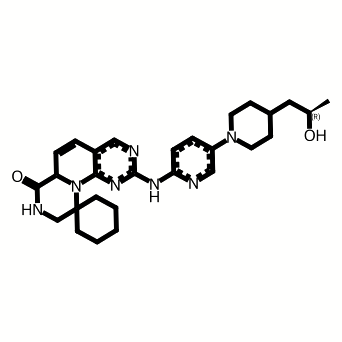 C[C@@H](O)CC1CCN(c2ccc(Nc3ncc4c(n3)N3C(C=C4)C(=O)NCC34CCCCC4)nc2)CC1